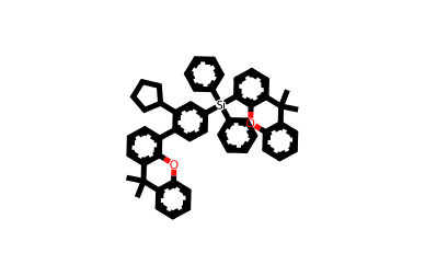 CC1(C)c2ccccc2Oc2c(-c3ccc([Si](c4ccccc4)(c4ccccc4)c4cccc5c4Oc4ccccc4C5(C)C)cc3C3CCCC3)cccc21